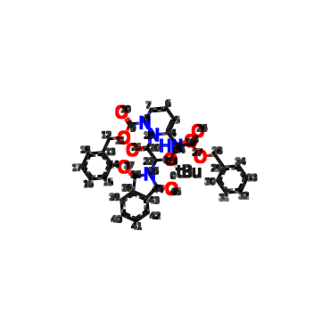 CC(C)(C)OC(=O)C1=CC=CN(C(=O)OCc2ccccc2)N1C(=O)C(CNC(=O)OCc1ccccc1)N1C(=O)c2ccccc2C1=O